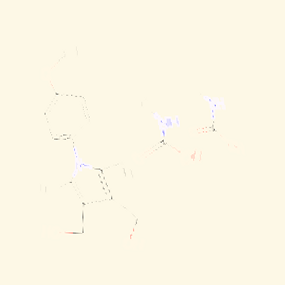 CNC(=O)O.CNC(=O)O.COc1ccc(-n2c(C)c(CO)c(CO)c2C)cc1